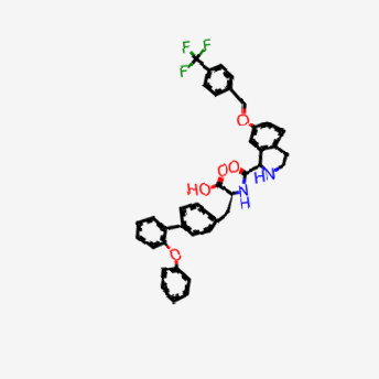 O=C(N[C@@H](Cc1ccc(-c2ccccc2Oc2ccccc2)cc1)C(=O)O)C1NCCc2ccc(OCc3ccc(C(F)(F)F)cc3)cc21